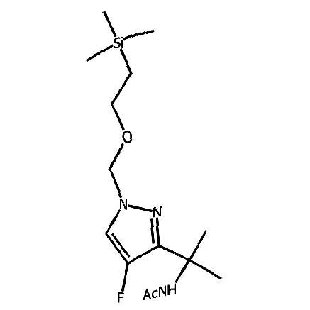 CC(=O)NC(C)(C)c1nn(COCC[Si](C)(C)C)cc1F